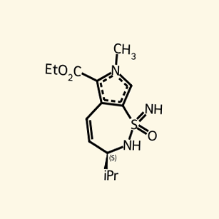 CCOC(=O)c1c2c(cn1C)S(=N)(=O)N[C@@H](C(C)C)C=C2